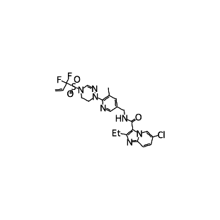 C=CC(F)(F)S(=O)(=O)N1C=NN(c2ncc(CNC(=O)c3c(CC)nc4ccc(Cl)cn34)cc2C)CC1